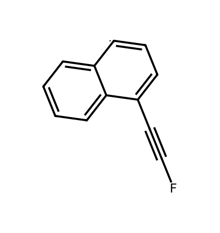 FC#Cc1cc[c]c2ccccc12